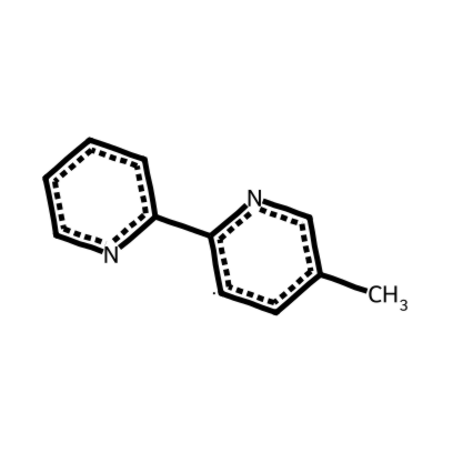 Cc1c[c]c(-c2ccccn2)nc1